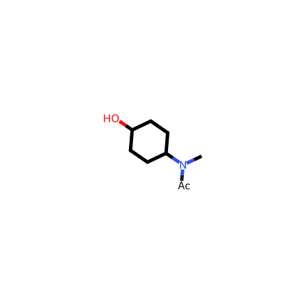 CC(=O)N(C)C1CCC(O)CC1